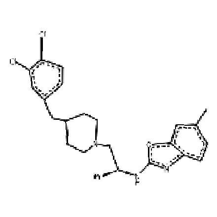 Cc1ccc2nc(N[C@H](CN3CCC(Cc4ccc(Cl)c(Cl)c4)CC3)C(C)C)oc2c1